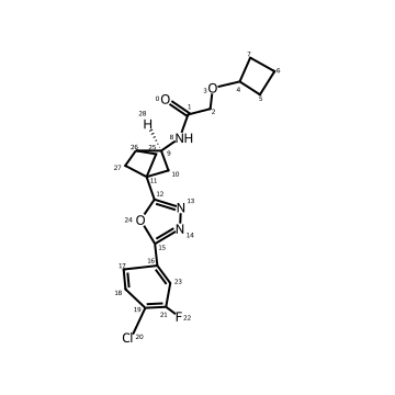 O=C(COC1CCC1)N[C@H]1CC2(c3nnc(-c4ccc(Cl)c(F)c4)o3)CC1C2